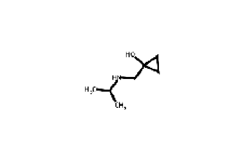 CC(C)NCC1(O)CC1